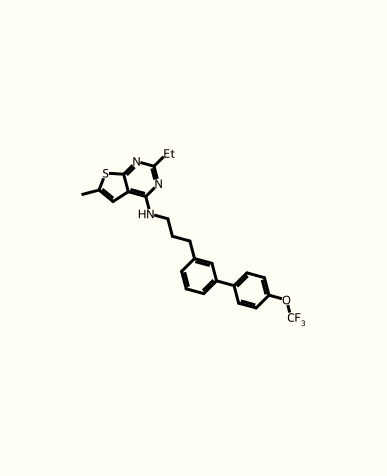 CCc1nc(NCCCc2cccc(-c3ccc(OC(F)(F)F)cc3)c2)c2cc(C)sc2n1